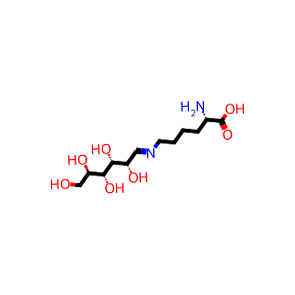 N[C@@H](CCCC/N=C/[C@H](O)[C@@H](O)[C@H](O)[C@H](O)CO)C(=O)O